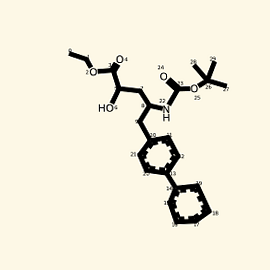 CCOC(=O)C(O)CC(Cc1ccc(-c2ccccc2)cc1)NC(=O)OC(C)(C)C